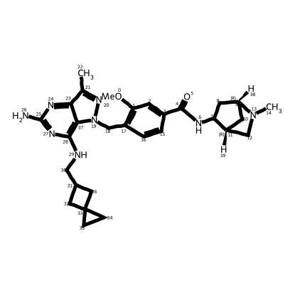 COc1cc(C(=O)NC2C[C@H]3C[C@@H]2CN3C)ccc1Cn1nc(C)c2nc(N)nc(NCC3CC4(CC4)C3)c21